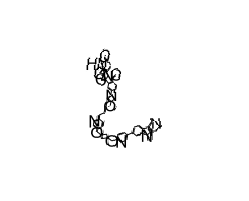 Cn1c2ccncc2c2ccc(-c3ccc(OC4CC(Oc5ccc(CCCOC6CN(c7ccc8c(c7)C(=O)N(C7CCC(=O)NC7=O)C8=O)C6)nc5)C4)nc3)cc21